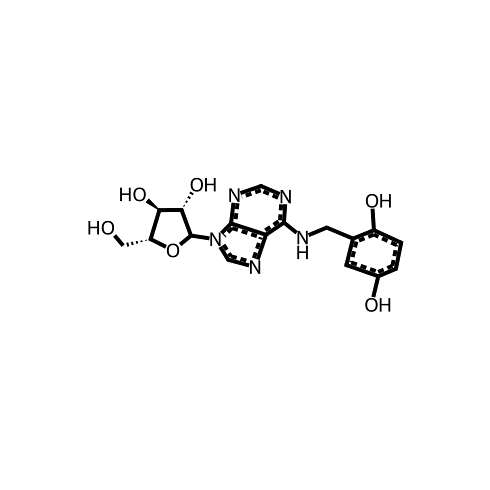 OC[C@H]1OC(n2cnc3c(NCc4cc(O)ccc4O)ncnc32)[C@@H](O)[C@@H]1O